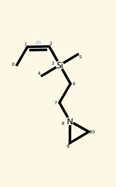 C/C=C\[Si](C)(C)CCN1CC1